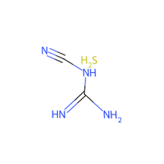 N#CNC(=N)N.S